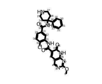 COc1ncc2cc(C(=O)Nc3cc(C(=O)NC4(c5ccccc5)CCNCC4)ccc3Cl)c(=O)[nH]c2n1